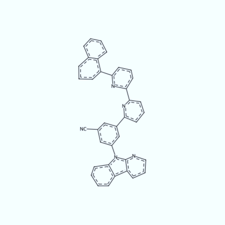 N#Cc1cc(-c2cccc(-c3cccc(-c4cccc5ccccc45)n3)n2)cc(-n2c3ccccc3c3cccnc32)c1